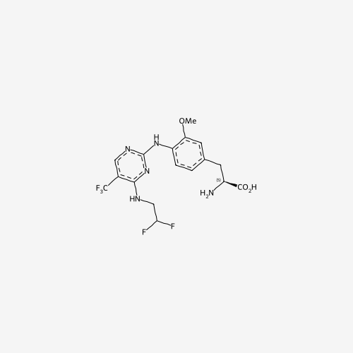 COc1cc(C[C@H](N)C(=O)O)ccc1Nc1ncc(C(F)(F)F)c(NCC(F)F)n1